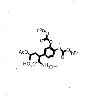 CCCOC(=O)Oc1ccc(C(C[C@@H](C)OC(C)=O)[C@H](N)C(=O)O)cc1OC(=O)OCCC.Cl